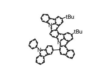 CC(C)(C)c1cc2c3ccccc3n3c4ccc5c(c6cc(C(C)(C)C)cc7c8c9ccccc9cc(-c9ccc%10c(c9)c9ccccc9n%10-c9ccccc9)c8n5c67)c4c(c1)c23